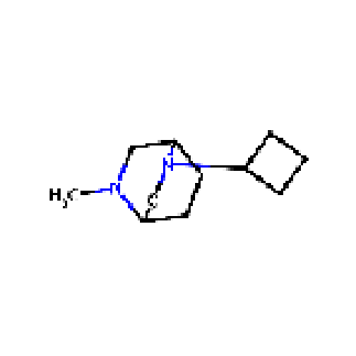 CN1CC2CCC1CN2C1CCC1